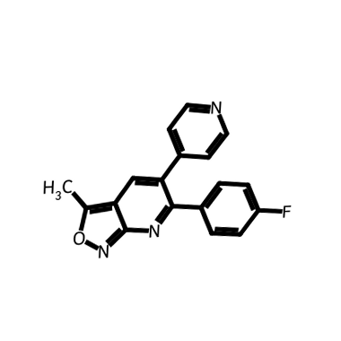 Cc1onc2nc(-c3ccc(F)cc3)c(-c3ccncc3)cc12